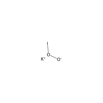 [K+].[O-]OI